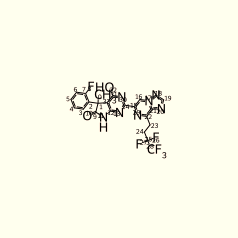 CC1(c2ccccc2F)C(=O)Nc2nc(-c3cn4ncnc4c(CCC(F)(F)C(F)(F)F)n3)nc(O)c21